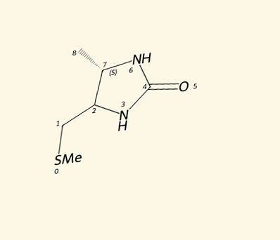 CSCC1NC(=O)N[C@H]1C